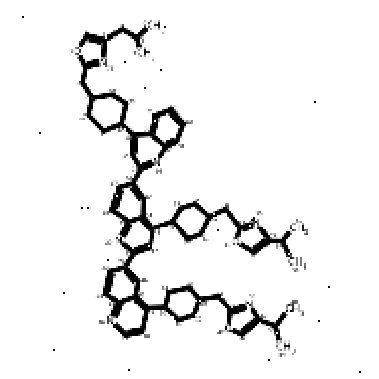 CC(C)Cc1coc(CC2CCC(c3cc(-c4ccc5nc(-c6ccc7nccc(C8CCC(Cc9nc(C(C)C)co9)CC8)c7c6)cc(C6CCC(Cc7nc(C(C)C)co7)CC6)c5c4)nc4ccccc34)CC2)n1